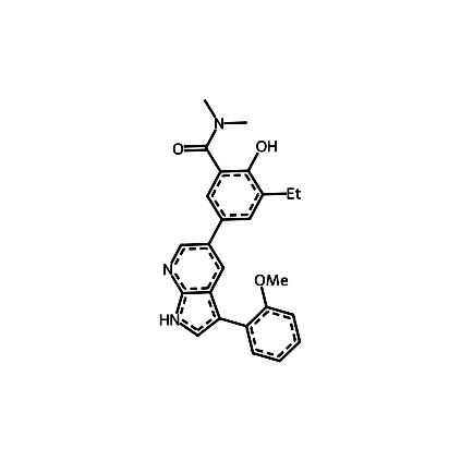 CCc1cc(-c2cnc3[nH]cc(-c4ccccc4OC)c3c2)cc(C(=O)N(C)C)c1O